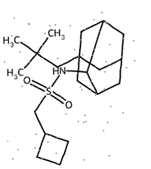 CC(C)(C)CC12CC3CC(C1)C(NS(=O)(=O)CC1CCC1)C(C3)C2